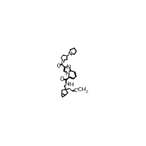 C=C=CCC1(CNC(=O)c2cccc3nc(C(=O)N4CCC(N5CCCC5)C4)cn23)CC2CC2C1